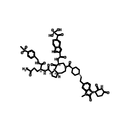 Cn1c(=O)n(C2CCC(=O)NC2=O)c2ccc(CC[C@H]3CC[C@H](C(=O)N4CC[C@H]5CC[C@@H](C(=O)N[C@@H](CCC(N)=O)C(=O)NCc6ccc(S(C)(=O)=O)cc6)N5C(=O)[C@@H](NC(=O)c5cc6cc(C(=O)P(=O)(O)O)ccc6[nH]5)C4)CC3)cc21